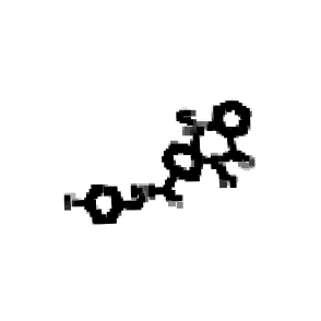 CCN1C(=O)c2ccccc2[S@+]([O-])c2ccc(C(=O)NCc3ccc(F)cc3)cc21